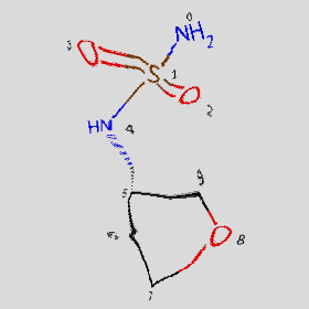 NS(=O)(=O)N[C@H]1CCOC1